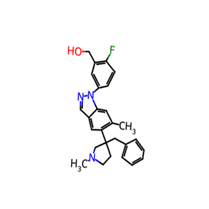 Cc1cc2c(cnn2-c2ccc(F)c(CO)c2)cc1C1(Cc2ccccc2)CCN(C)C1